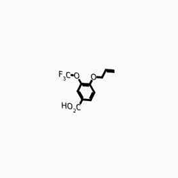 C=CCOc1ccc(C(=O)O)cc1OC(F)(F)F